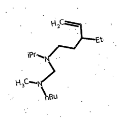 C=CC(CC)CCN(CN(C)CCCC)C(C)C